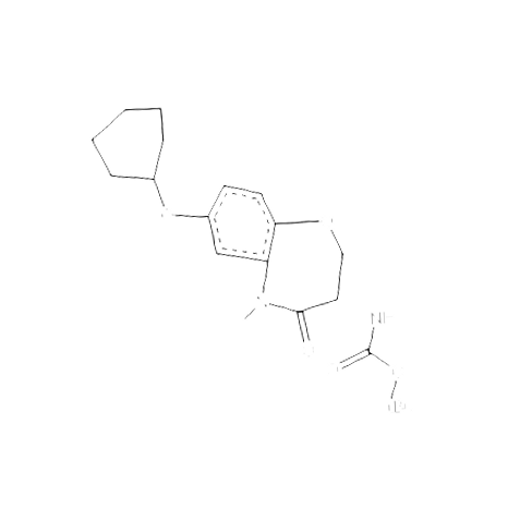 CN1C(=O)[C@@H](NC(=O)OC(C)(C)C)COc2ccc(OC3CCCCC3)cc21